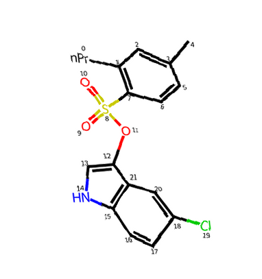 CCCc1cc(C)ccc1S(=O)(=O)Oc1c[nH]c2ccc(Cl)cc12